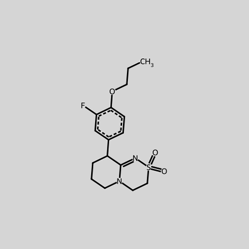 CCCOc1ccc(C2CCCN3CCS(=O)(=O)N=C23)cc1F